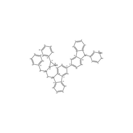 C1=CC(n2c3ccccc3c3cc(-c4ccc5c(c4)c4ccccc4n5CN(Cc4ccccc4)N4NC4c4ccccc4)ccc32)=CNC1